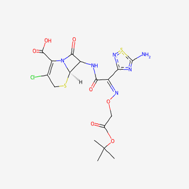 CC(C)(C)OC(=O)CO/N=C(\C(=O)NC1C(=O)N2C(C(=O)O)=C(Cl)CS[C@H]12)c1nsc(N)n1